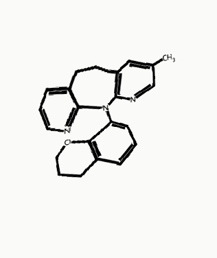 Cc1cnc2c(c1)CCc1cccnc1N2c1cccc2c1OCCC2